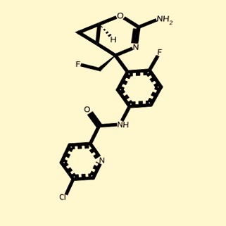 NC1=N[C@](CF)(c2cc(NC(=O)c3ccc(Cl)cn3)ccc2F)C2C[C@H]2O1